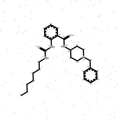 CCCCCCCNC(=O)Nc1ccccc1C(=O)NC1CCN(Cc2ccccc2)CC1